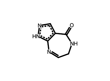 O=C1NCC=Nc2[nH]ncc21